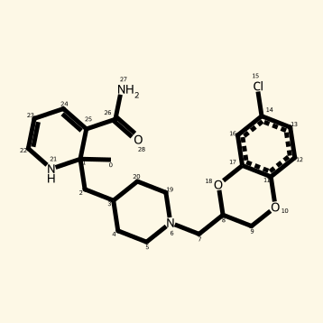 CC1(CC2CCN(CC3COc4ccc(Cl)cc4O3)CC2)NC=CC=C1C(N)=O